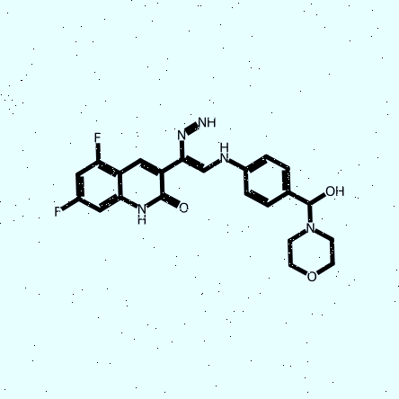 N=N/C(=C\Nc1ccc(C(O)N2CCOCC2)cc1)c1cc2c(F)cc(F)cc2[nH]c1=O